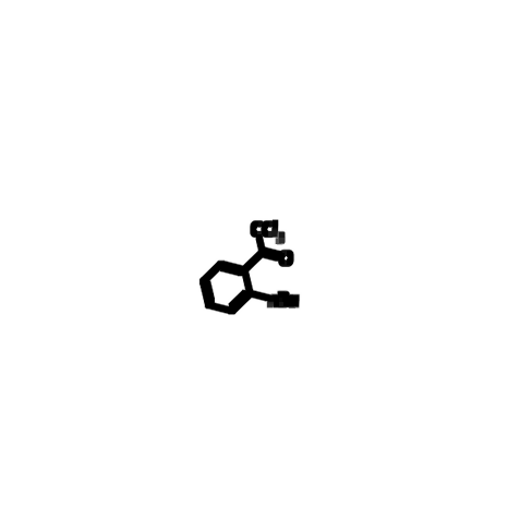 CCCCc1ccccc1C(=O)C(Cl)(Cl)Cl